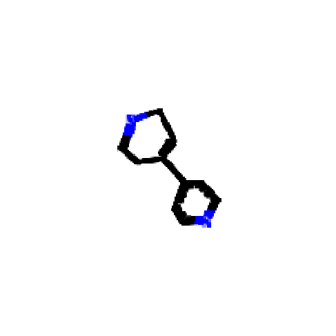 C1=NCC=C(c2ccncc2)C1